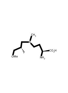 COC[C@@H](F)CN(C)CC[C@H](N)C(=O)O